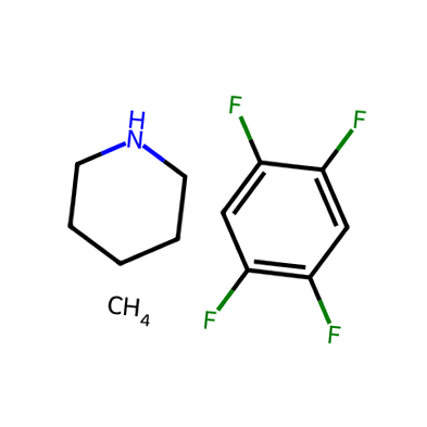 C.C1CCNCC1.Fc1cc(F)c(F)cc1F